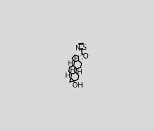 C[C@]12CC[C@@H]3[C@H]4CC[C@]5(O)CC5[C@H]4CC[C@H]3[C@@H]1CC[C@@H]2C(=O)c1nccs1